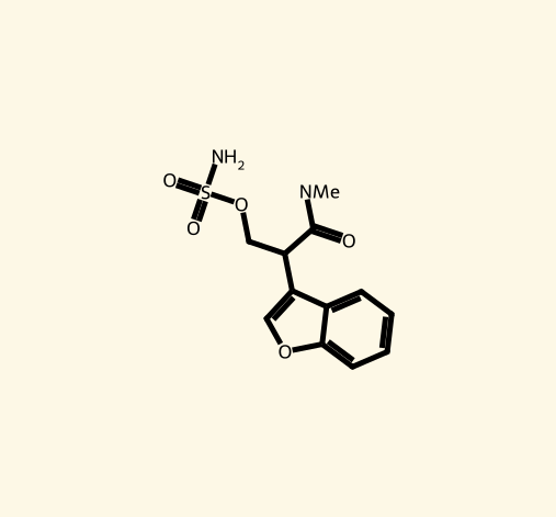 CNC(=O)C(COS(N)(=O)=O)c1coc2ccccc12